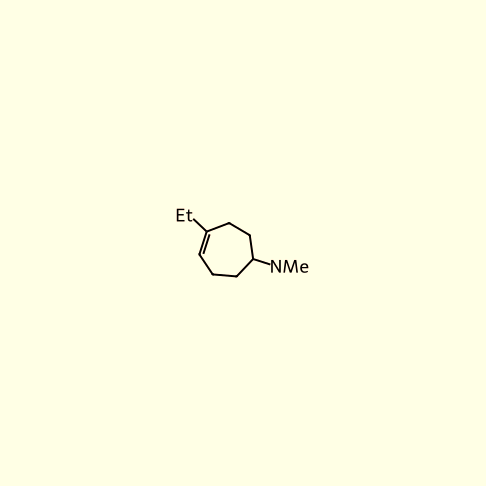 CCC1=CCCC(NC)CC1